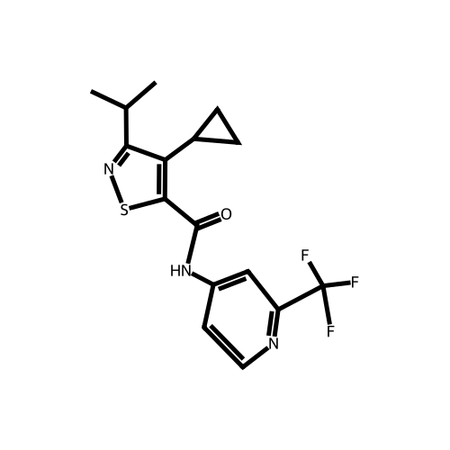 CC(C)c1nsc(C(=O)Nc2ccnc(C(F)(F)F)c2)c1C1CC1